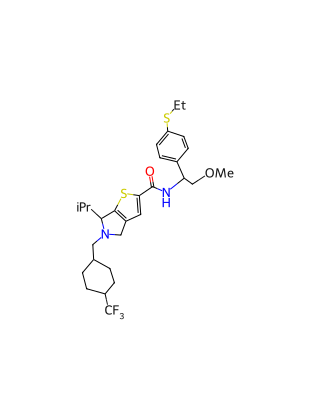 CCSc1ccc(C(COC)NC(=O)c2cc3c(s2)C(C(C)C)N(CC2CCC(C(F)(F)F)CC2)C3)cc1